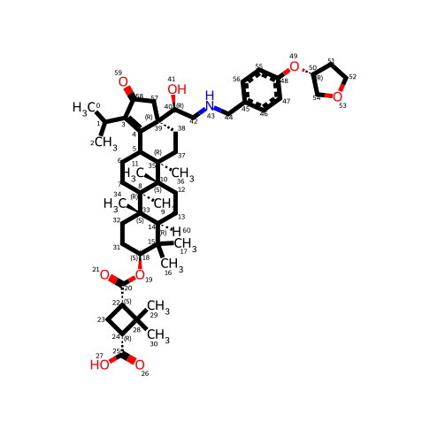 CC(C)C1=C2C3CC[C@@]4(C)[C@@](C)(CC[C@H]5C(C)(C)[C@@H](OC(=O)[C@H]6C[C@@H](C(=O)O)C6(C)C)CC[C@@]54C)[C@]3(C)CC[C@@]2([C@@H](O)CNCc2ccc(O[C@@H]3CCOC3)cc2)CC1=O